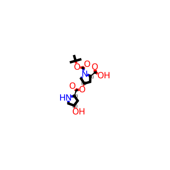 CC(C)(C)OC(=O)N1C[C@H](OC(=O)[C@H]2C[C@@H](O)CN2)C[C@@H]1C(=O)O